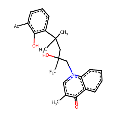 CC(=O)c1cccc(C(C)(C)CC(O)(Cn2cc(C)c(=O)c3ccccc32)C(F)(F)F)c1O